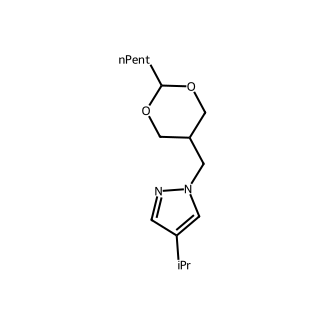 CCCCCC1OCC(Cn2cc(C(C)C)cn2)CO1